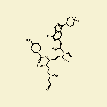 C/C(=C\c1cc(F)c2cnn(C3CCC(F)(F)CC3)c2c1)[C@@H](C=O)[C@@H](C)/C=C/[C@H](OC(=O)N1CCN(C)CC1)[C@@H](C)CC[C@@H](O)CC=O